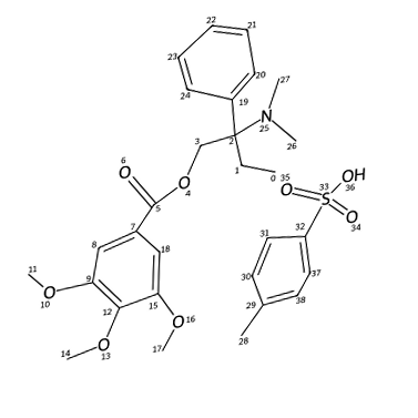 CCC(COC(=O)c1cc(OC)c(OC)c(OC)c1)(c1ccccc1)N(C)C.Cc1ccc(S(=O)(=O)O)cc1